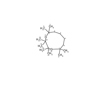 CC1(C)CCCCC(C)(C)OC(C)(C)C(C)(C)O1